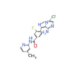 Cc1ccnc(NC(=O)c2ccc(-c3ncn4c(Cl)cnc(N)c34)c(F)c2)c1